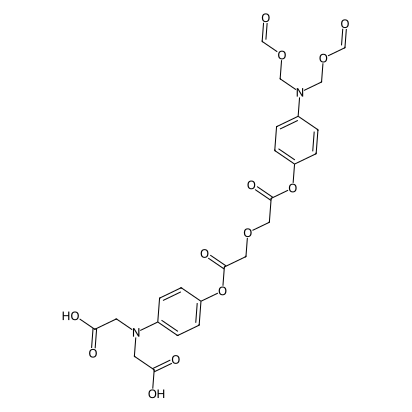 O=COCN(COC=O)c1ccc(OC(=O)COCC(=O)Oc2ccc(N(CC(=O)O)CC(=O)O)cc2)cc1